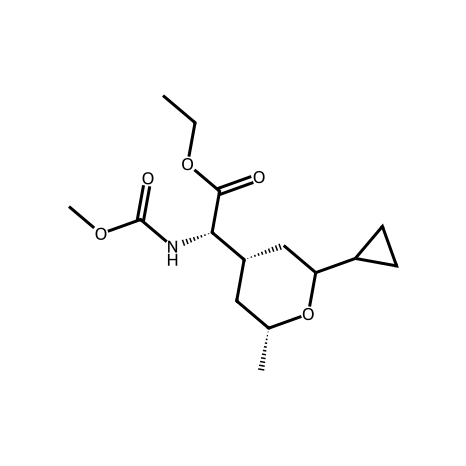 CCOC(=O)[C@@H](NC(=O)OC)[C@@H]1CC(C2CC2)O[C@H](C)C1